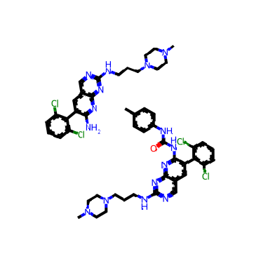 CN1CCN(CCCNc2ncc3cc(-c4c(Cl)cccc4Cl)c(N)nc3n2)CC1.Cc1ccc(NC(=O)Nc2nc3nc(NCCCN4CCN(C)CC4)ncc3cc2-c2c(Cl)cccc2Cl)cc1